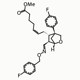 COC(=O)CCC/C=C\C[C@H]1[C@H](C=NOCc2ccc(F)cc2)[C@@H]2C[C@@]1(c1ccc(F)cc1)CO2